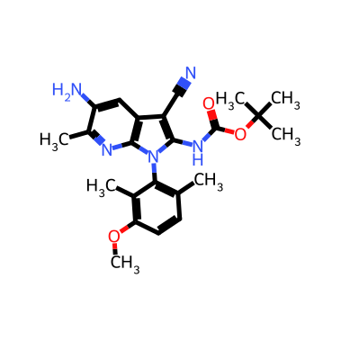 COc1ccc(C)c(-n2c(NC(=O)OC(C)(C)C)c(C#N)c3cc(N)c(C)nc32)c1C